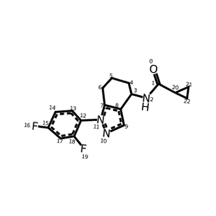 O=C(NC1CCCc2c1cnn2-c1ccc(F)cc1F)C1CC1